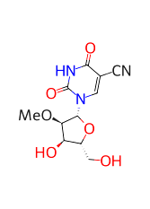 CO[C@@H]1[C@H](O)[C@@H](CO)O[C@H]1n1cc(C#N)c(=O)[nH]c1=O